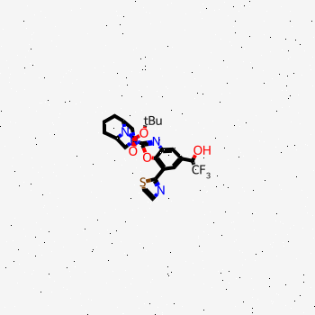 CC(C)(C)OC(=O)N1C2CCCC1CN(c1nc3cc(C(O)C(F)(F)F)cc(-c4nccs4)c3o1)C2